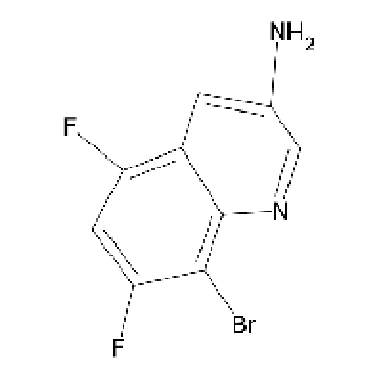 Nc1cnc2c(Br)c(F)cc(F)c2c1